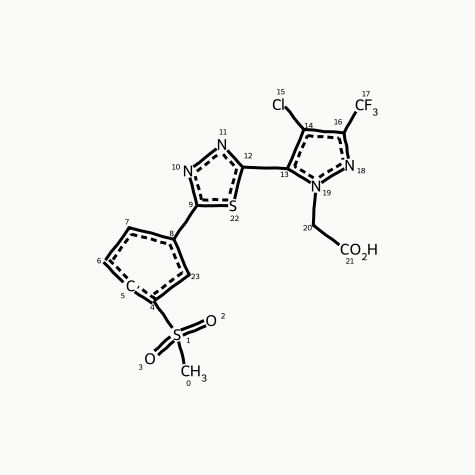 CS(=O)(=O)c1cccc(-c2nnc(-c3c(Cl)c(C(F)(F)F)nn3CC(=O)O)s2)c1